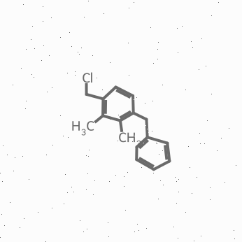 Cc1c(CCl)ccc(Cc2ccccc2)c1C